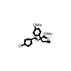 C#CCC(/N=C/c1ccc(Cl)cc1)(C(=O)OC)c1ccc(OC)cc1